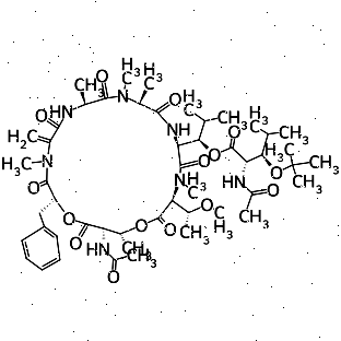 C=C1C(=O)N[C@@H](C)C(=O)N(C)[C@@H](C)C(=O)N[C@@H]([C@H](OC(=O)[C@@H](NC(C)=O)[C@H](OC(C)(C)C)C(C)C)C(C)C)C(=O)N(C)[C@@H]([C@@H](C)OC)C(=O)O[C@H](C)[C@H](NC(C)=O)C(=O)O[C@H](Cc2ccccc2)C(=O)N1C